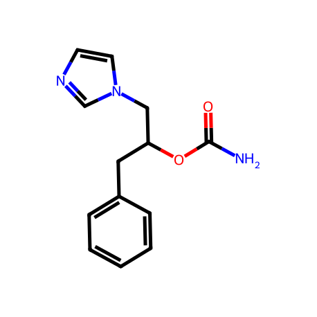 NC(=O)OC(Cc1ccccc1)Cn1ccnc1